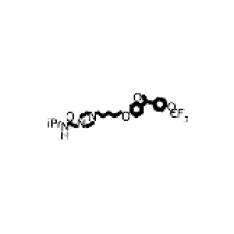 CC(C)NC(=O)CN1CCN(CCCCCOc2ccc3c(-c4ccc(OC(F)(F)F)cc4)coc3c2)CC1